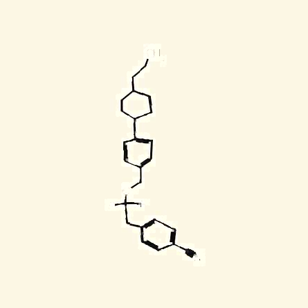 CCCC1CCC(c2ccc(COC(F)(F)Cc3ccc(C#N)cc3)cc2)CC1